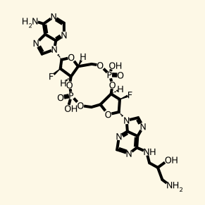 NCC(O)CNc1ncnc2c1ncn2[C@@H]1OC2COP(=O)(O)O[C@H]3[C@@H](F)[C@H](n4cnc5c(N)ncnc54)O[C@@H]3COP(=O)(O)O[C@H]2[C@H]1F